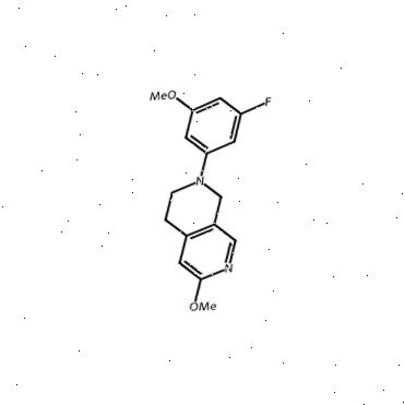 COc1cc(F)cc(N2CCc3cc(OC)ncc3C2)c1